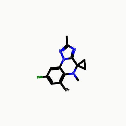 Cc1nc2n(n1)-c1cc(F)cc(C(C)C)c1N(C)C21CC1